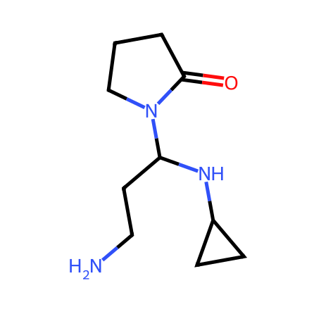 NCCC(NC1CC1)N1CCCC1=O